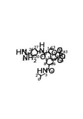 CC(C)CNC(=O)c1ccc(-c2occc2C(=O)Nc2ccc(C(=N)N)cc2)c(C(=O)OS(C)(=O)=O)c1